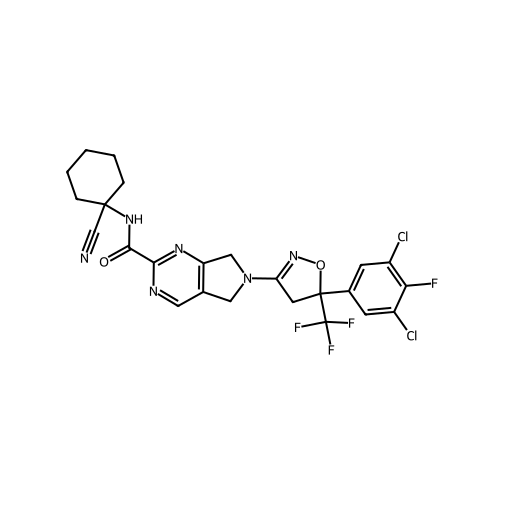 N#CC1(NC(=O)c2ncc3c(n2)CN(C2=NOC(c4cc(Cl)c(F)c(Cl)c4)(C(F)(F)F)C2)C3)CCCCC1